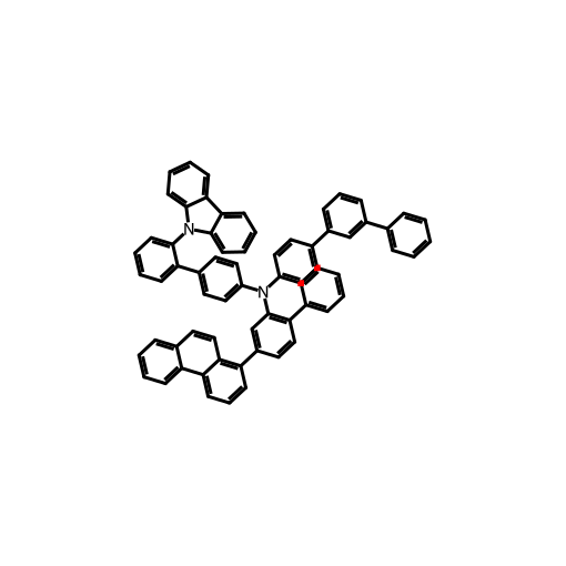 c1ccc(-c2cccc(-c3ccc(N(c4ccc(-c5ccccc5-n5c6ccccc6c6ccccc65)cc4)c4cc(-c5cccc6c5ccc5ccccc56)ccc4-c4ccccc4)cc3)c2)cc1